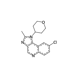 Cc1nc2cnc3ccc(Cl)cc3c2n1C1CCOCC1